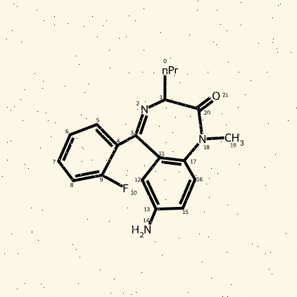 CCCC1N=C(c2ccccc2F)c2cc(N)ccc2N(C)C1=O